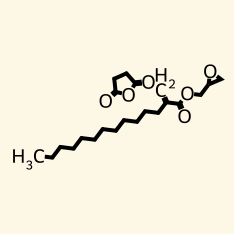 C=C(CCCCCCCCCCCC)C(=O)OCC1CO1.O=C1CCC(=O)O1